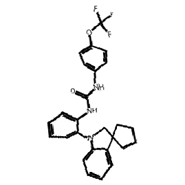 O=C(Nc1ccc(OC(F)(F)F)cc1)Nc1ccccc1N1CC2(CCCC2)c2ccccc21